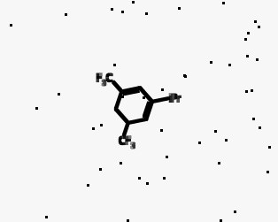 CC(C)C1=CC(C(F)(F)F)CC(C(F)(F)F)=C1